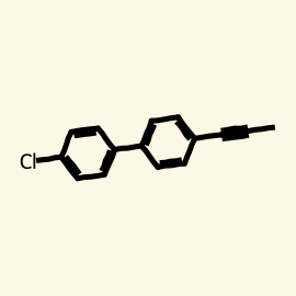 CC#Cc1ccc(-c2ccc(Cl)cc2)cc1